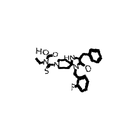 CCN(C(=O)O)C(=S)N1CCC2(CC1)NC(Cc1ccccc1)C(=O)N2Cc1ccccc1F